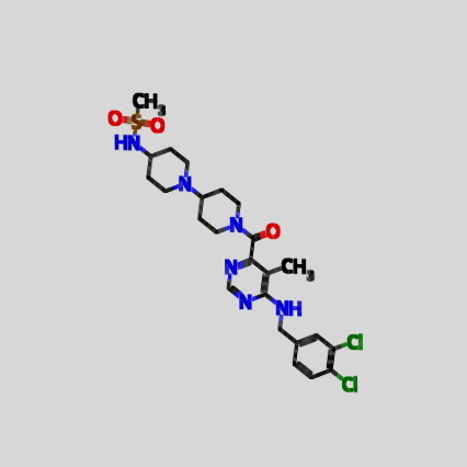 Cc1c(NCc2ccc(Cl)c(Cl)c2)ncnc1C(=O)N1CCC(N2CCC(NS(C)(=O)=O)CC2)CC1